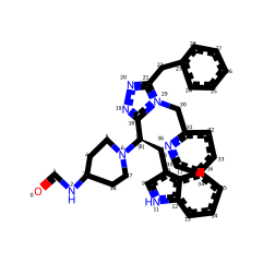 O=[C]NC1CCN([C@H](Cc2c[nH]c3ccccc23)c2nnc(Cc3ccccc3)n2Cc2ccccn2)CC1